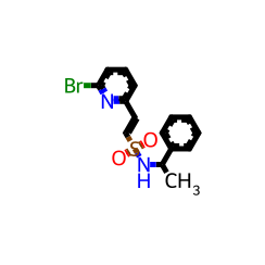 CC(NS(=O)(=O)/C=C/c1cccc(Br)n1)c1ccccc1